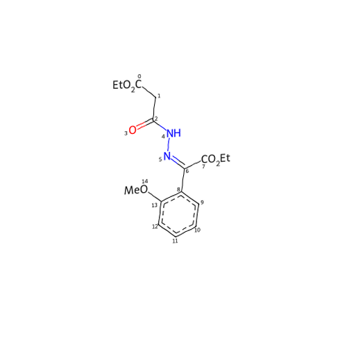 CCOC(=O)CC(=O)NN=C(C(=O)OCC)c1ccccc1OC